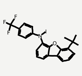 CC(C)(C)c1cccc2c1oc1c(N(I)c3ccc(C(F)(F)F)cc3)cccc12